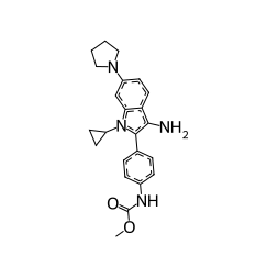 COC(=O)Nc1ccc(-c2c(N)c3ccc(N4CCCC4)cc3n2C2CC2)cc1